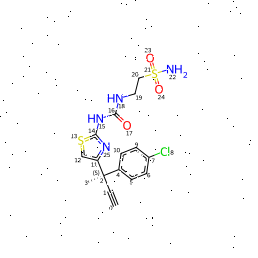 C#C[C@](C)(c1ccc(Cl)cc1)c1csc(NC(=O)NCCS(N)(=O)=O)n1